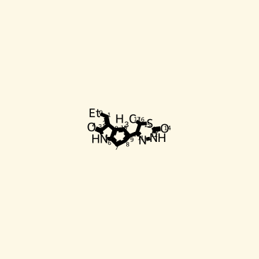 CCC=C1C(=O)Nc2ccc(C3=NNC(=O)SC3C)cc21